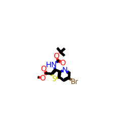 COC(=O)c1sc2cc(Br)cnc2c1NC(=O)OC(C)(C)C